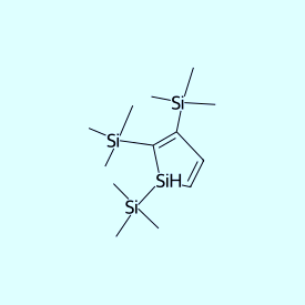 C[Si](C)(C)C1=C([Si](C)(C)C)[SiH]([Si](C)(C)C)C=C1